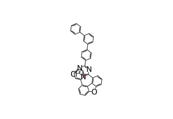 Clc1nc(-c2ccc(-c3cccc(-c4ccccc4)c3)cc2)nc(-c2cccc3oc4cccc(-c5ccccc5)c4c23)n1